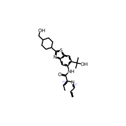 C=C/C=N\C(=C/C)C(=O)Nc1cc2nc(C3CCC(CO)CC3)sc2cc1C(C)(C)O